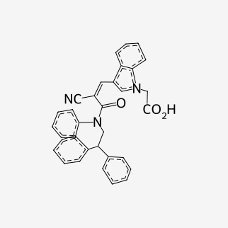 N#CC(=Cc1cn(CC(=O)O)c2ccccc12)C(=O)N(CC(c1ccccc1)c1ccccc1)c1ccccc1